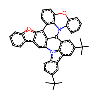 CC(C)(C)c1ccc2c(c1)c1cc(C(C)(C)C)cc3c1n2-c1cc2c(oc4ccccc42)c2c1B3N1c3ccccc3Oc3cccc-2c31